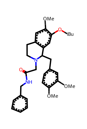 CCC(C)Oc1cc2c(cc1OC)CCN(CC(=O)NCc1ccccc1)C2Cc1ccc(OC)c(OC)c1